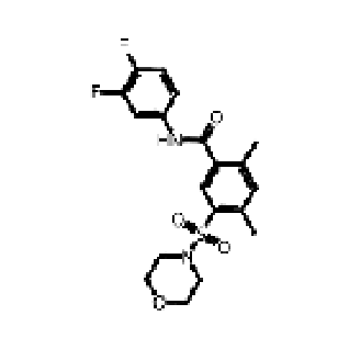 Cc1cc(C)c(S(=O)(=O)N2CCOCC2)cc1C(=O)Nc1ccc(F)c(F)c1